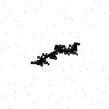 CC(=O)O[C@@H](C)/C=C\C(=O)N[C@@H]1C[C@H](C)[C@H](C/C=C(C)/C=C/C2CC(O)(CCl)CC(CC(=O)OCC3(O)C(O)C(/C=C/C(C)=C/C[C@@H]4O[C@H](C)[C@H](NC(=O)/C=C\[C@H](C)OC(C)=O)C[C@@H]4C)OC(C)(O)C3O)O2)O[C@@H]1C